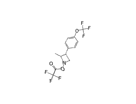 CC1C(c2ccc(OC(F)(F)F)cc2)CN1OC(=O)C(F)(F)F